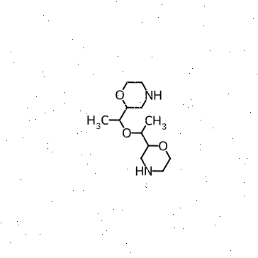 CC(OC(C)C1CNCCO1)C1CNCCO1